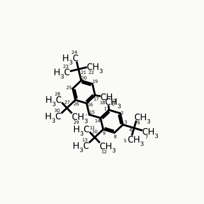 Cc1cc(C(C)(C)C)cc(C(C)(C)C)c1[CH]c1c(C)cc(C(C)(C)C)cc1C(C)(C)C